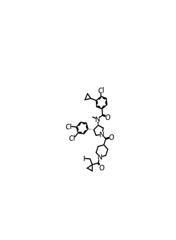 CN(C(=O)c1ccc(Cl)c(C2CC2)c1)[C@H]1CN(C(=O)C2CCN(C(=O)C3(CI)CC3)CC2)C[C@@H]1c1ccc(Cl)c(Cl)c1